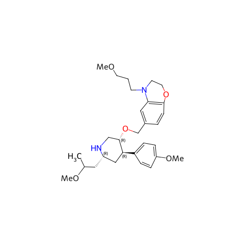 COCCCN1CCOc2ccc(CO[C@H]3CN[C@@H](CC(C)OC)C[C@@H]3c3ccc(OC)cc3)cc21